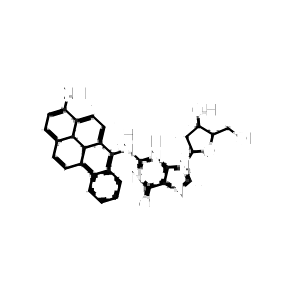 NC1=CC=C2C=CC3=c4ccccc4=C(Nc4nc(=O)c5ncn(C6CC(O)C(CO)O6)c5[nH]4)C4=CC=C1C2C43